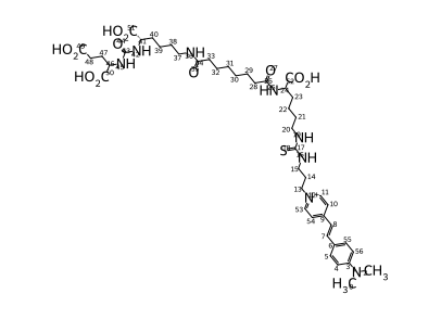 CN(C)c1ccc(/C=C/c2cc[n+](CCCNC(=S)NCCCCC(NC(=O)CCCCCCC(=O)NCCCC[C@H](NC(=O)NC(CCC(=O)O)C(=O)O)C(=O)O)C(=O)O)cc2)cc1